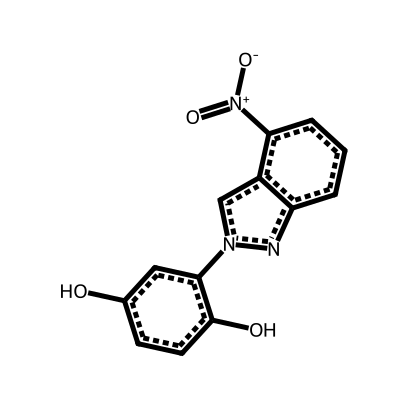 O=[N+]([O-])c1cccc2nn(-c3cc(O)ccc3O)cc12